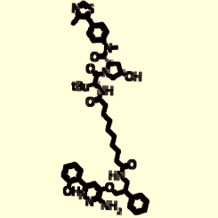 Cc1ncsc1-c1ccc(N(C)C(=O)[C@@H]2C[C@@H](O)CN2C(=O)[C@@H](NC(=O)CCCCCCCCC(=O)NCC(COc2cc(-c3ccccc3O)nnc2N)c2ccccc2)C(C)(C)C)cc1